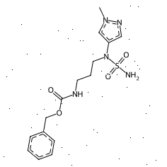 Cn1cc(N(CCCNC(=O)OCc2ccccc2)S(N)(=O)=O)cn1